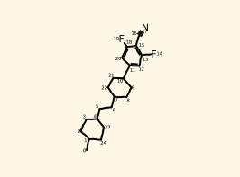 CC1CCC(CCC2CCC(c3cc(F)c(C#N)c(F)c3)CC2)CC1